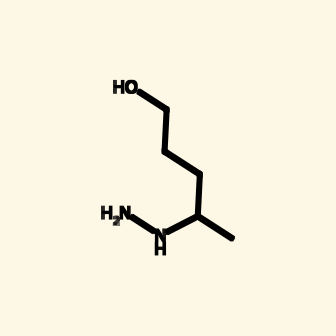 CC(CCCO)NN